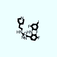 Fc1cc(I)ccc1Nc1c(-c2nnc(NCCc3ccncc3)o2)ccc(F)c1F